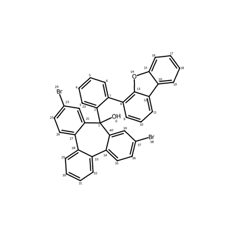 OC1(c2ccccc2-c2cccc3c2oc2ccccc23)c2cc(Br)ccc2-c2ccccc2-c2ccc(Br)cc21